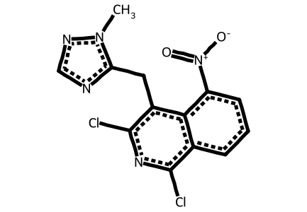 Cn1ncnc1Cc1c(Cl)nc(Cl)c2cccc([N+](=O)[O-])c12